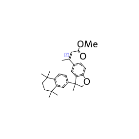 COC(=O)/C=C(/C)c1ccc2c(c1)C(C)(c1ccc3c(c1)C(C)(C)CCC3(C)C)CO2